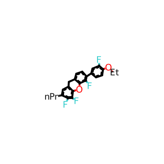 CCCc1cc2c(c(F)c1F)Oc1c(ccc(-c3ccc(OCC)c(F)c3)c1F)C2